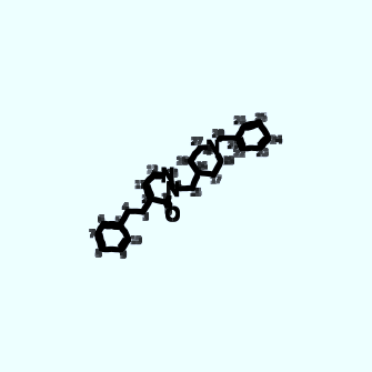 O=c1c(CCc2ccccc2)ccnn1CC1CCN(Cc2ccccc2)CC1